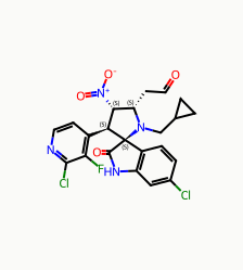 O=CC[C@H]1[C@@H]([N+](=O)[O-])[C@H](c2ccnc(Cl)c2F)[C@]2(C(=O)Nc3cc(Cl)ccc32)N1CC1CC1